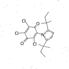 CCC(C)(C)c1ccc(C(C)(C)CC)n1C1=C(Cl)C(=O)C(Cl)=C(Cl)C1=O